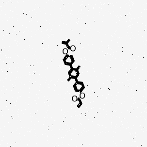 C=CC(=O)Oc1ccc(-c2cc(C)c(-c3ccc(OC(=O)C(=C)C)cc3)cc2C)cc1